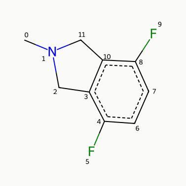 CN1Cc2c(F)ccc(F)c2C1